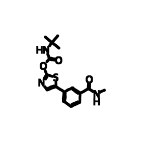 CNC(=O)c1cccc(-c2cnc(OC(=O)NC(C)(C)C)s2)c1